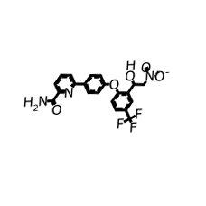 NC(=O)c1cccc(-c2ccc(Oc3ccc(C(F)(F)F)cc3C(O)C[N+](=O)[O-])cc2)n1